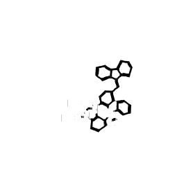 CC1N(C)c2cccc3c2N1c1ccc(C=C2c4ccccc4-c4ccccc42)cc1P3(=O)c1ccccc1